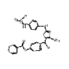 Nc1nc(Nc2ccc(N[SH](=O)=O)cc2)sc1C(=O)c1ccc(OC(=O)c2ccccc2)cc1